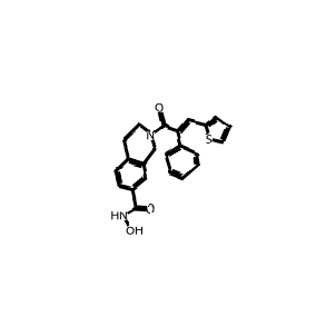 O=C(NO)c1ccc2c(c1)CN(C(=O)/C(=C/c1cccs1)c1ccccc1)CC2